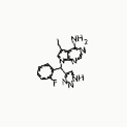 Nc1ncnc2c1c(I)cn2C(c1c[nH]nn1)c1ccccc1F